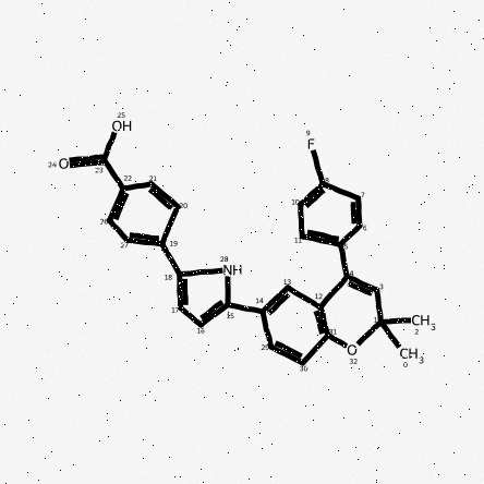 CC1(C)C=C(c2ccc(F)cc2)c2cc(-c3ccc(-c4ccc(C(=O)O)cc4)[nH]3)ccc2O1